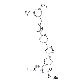 C/C(=N\OCc1cc(C(F)(F)F)cc(C(F)(F)F)c1)c1ccc(-c2noc([C@@H]3CCN(/C(=N\C(=O)OC(C)(C)C)NC(=O)O)C3)n2)cc1